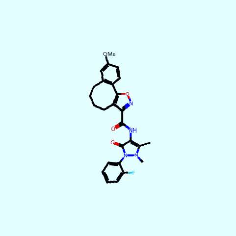 COc1ccc2c(c1)CCCCc1c(C(=O)Nc3c(C)n(C)n(-c4ccccc4F)c3=O)noc1-2